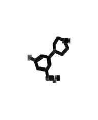 O=C(O)c1cc(F)cc(C2CCNCC2)c1